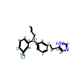 C=CCB(c1ccccc1)c1cccc(Cl)c1.CCc1cnc[nH]1